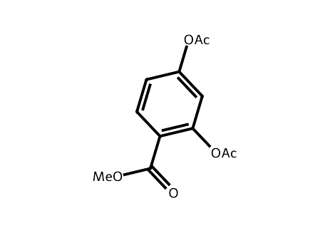 COC(=O)c1ccc(OC(C)=O)cc1OC(C)=O